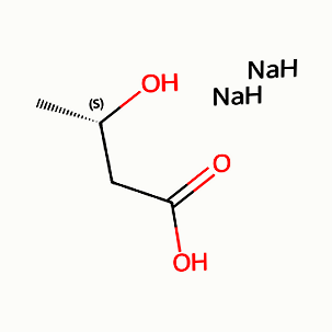 C[C@H](O)CC(=O)O.[NaH].[NaH]